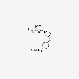 CCN(C)c1nccc(N2CC[C@@H](Oc3ccc([C@H](C)NC(C)=O)cc3)C2)n1